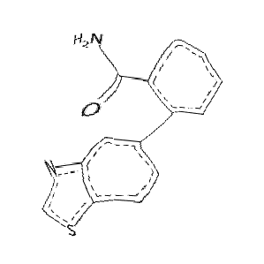 NC(=O)c1ccccc1-c1ccc2scnc2c1